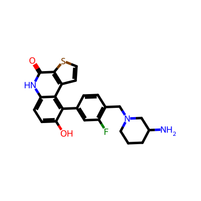 NC1CCCN(Cc2ccc(-c3c(O)ccc4[nH]c(=O)c5sccc5c34)cc2F)C1